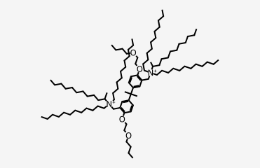 CCCCCCCCCCCC[N+](CCCCCCCCCCCC)(Cc1cc(C(C)(C)c2ccc(OCCOCCCC)c(C[N+](CCCCCCCCCCCC)(CCCCCCCCCCCC)C(C)CCCCCCCCCC)c2)ccc1OCCOCCCC)C(C)CCCCCCCCCC